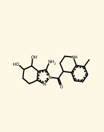 Cc1cccc2c1NCCC2C(=O)n1nc2c(c1N)C(O)C(O)CC2